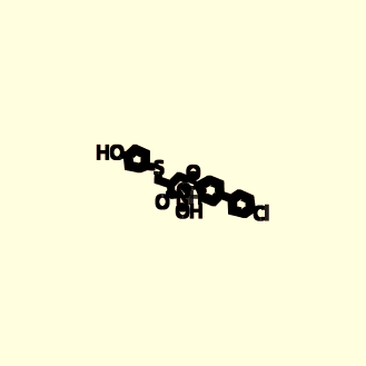 O=C(NO)C(CSc1ccc(O)cc1)CS(=O)(=O)c1ccc(-c2ccc(Cl)cc2)cc1